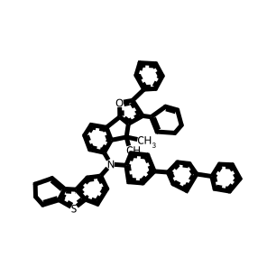 CC1(C)c2c(cccc2N(c2ccc(-c3ccc(-c4ccccc4)cc3)cc2)c2ccc3sc4c(c3c2)=CCCC=4)-c2oc(-c3ccccc3)c(C3=CCCC=C3)c21